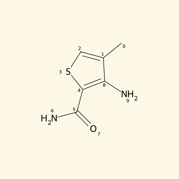 Cc1csc(C(N)=O)c1N